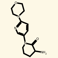 NC1CCCN(c2ccc(N3CCOCC3)nc2)C1=O